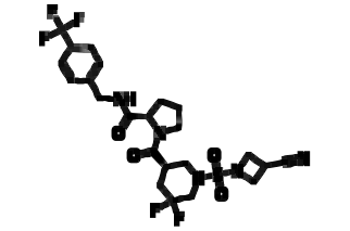 N#CC1CN(S(=O)(=O)N2C[C@H](C(=O)N3CCC[C@@H]3C(=O)NCc3ccc(C(F)(F)F)cc3)CC(F)(F)C2)C1